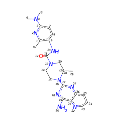 Cc1nc(N(C)C)ccc1NC(=O)N1CCN(c2nc(N)c3ncccc3n2)[C@@H](C)C1